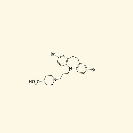 O=C(O)C1CCN(CCCN2c3ccc(Br)cc3CCc3cc(Br)ccc32)CC1